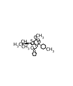 COC(=O)c1sc(C#CC(C)(C)C)cc1N(CC(=O)N1CCCC1)C(=O)[C@H]1CC[C@H](C)CC1